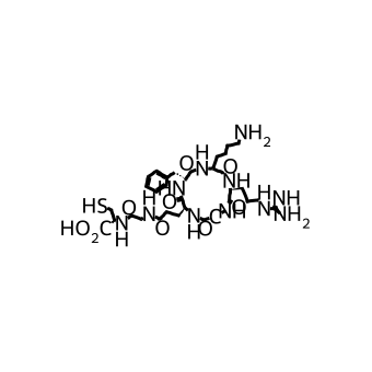 N=C(N)NCCC[C@@H]1NC(=O)C(CCCCN)NC(=O)[C@@H](Cc2ccccc2)NC(=O)[C@H](CCC(=O)NCC(=O)N[C@H](CS)C(=O)O)NC(=O)CNC1=O